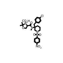 CN(C(=O)C1COC(C)(C)N1C(=O)O)C1(Cc2ccc(Cl)cc2)CCCN(S(=O)(=O)c2ccc([N+](=O)[O-])cc2)C1